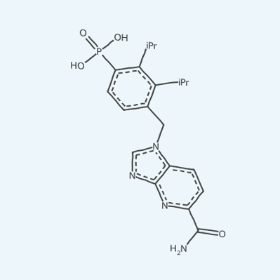 CC(C)c1c(Cn2cnc3nc(C(N)=O)ccc32)ccc(P(=O)(O)O)c1C(C)C